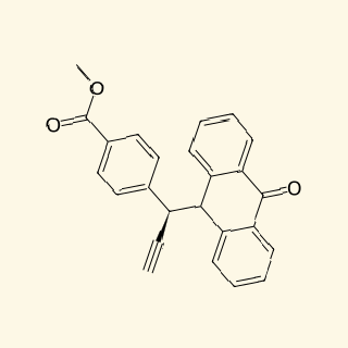 C#C[C@@H](c1ccc(C(=O)OC)cc1)C1c2ccccc2C(=O)c2ccccc21